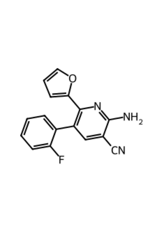 N#Cc1cc(-c2ccccc2F)c(-c2ccco2)nc1N